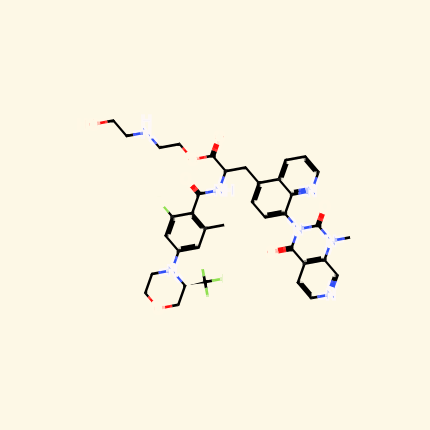 Cc1cc(N2CCOC[C@@H]2C(F)(F)F)cc(F)c1C(=O)NC(Cc1ccc(-n2c(=O)c3ccncc3n(C)c2=O)c2ncccc12)C(=O)OCCNCCO